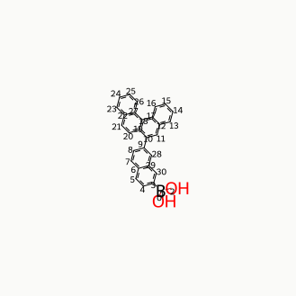 OB(O)c1ccc2ccc(-c3cc4ccccc4c4c3ccc3ccccc34)cc2c1